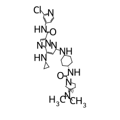 CN(C)[C@@H]1CCN(C(=O)N[C@H]2CC[C@H](Nc3cc(NC4CC4)c4ncc(C(=O)Nc5ccnc(Cl)c5)n4n3)CC2)C1